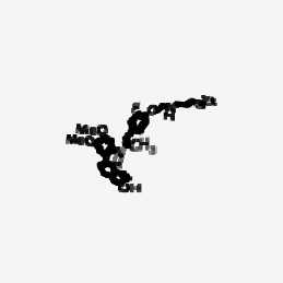 CCOCCCNCCOc1ccc(CC(C)Nc2cc(OC)c(OC)cc2C2CCc3cc(O)ccc3C2)cc1F